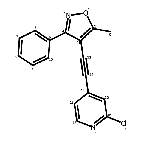 Cc1onc(-c2ccccc2)c1C#Cc1ccnc(Cl)c1